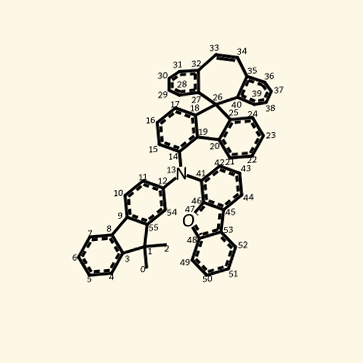 CC1(C)c2ccccc2-c2ccc(N(c3cccc4c3-c3ccccc3C43c4ccccc4C=Cc4ccccc43)c3cccc4c3oc3ccccc34)cc21